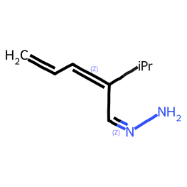 C=C/C=C(\C=N/N)C(C)C